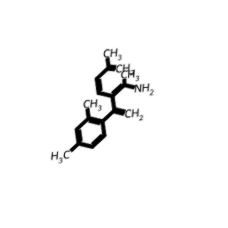 C=C(C)/C=C\C(C(=C)c1ccc(C)cc1C)=C(/C)N